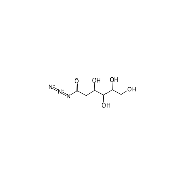 [N-]=[N+]=NC(=O)CC(O)C(O)C(O)CO